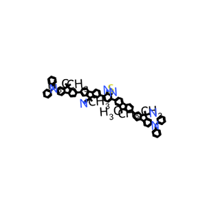 CC1(C)c2cc(-c3ccc4c(c3)C(C)(C#N)c3cc(N(c5ccccc5)c5ccccc5)ccc3-4)ccc2-c2ccc(-c3ccc(-c4ccc5c(c4)C(C)(C#N)c4cc(-c6ccc7c(c6)C(C)(C)c6cc(N(c8ccccc8)c8ccccc8)ccc6-7)ccc4-5)c4nsnc34)cc21